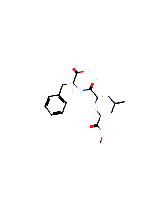 COC(=O)CN[C@@H](CC(C)C)C(=O)N[C@@H](Cc1ccccc1)C(=O)O